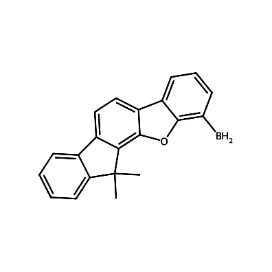 Bc1cccc2c1oc1c3c(ccc12)-c1ccccc1C3(C)C